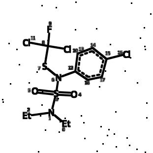 CCN(CC)S(=O)(=O)N(SC(F)(Cl)Cl)c1ccc(Cl)cc1